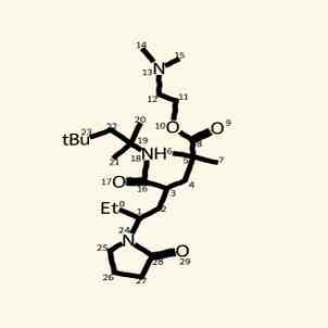 CCC(CC(CC(C)(C)C(=O)OCCN(C)C)C(=O)NC(C)(C)CC(C)(C)C)N1CCCC1=O